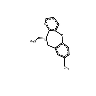 CNC[C@@H]1Cc2cc(C)ccc2Oc2cccnc21